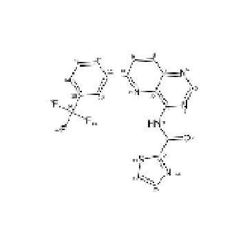 O=C(Nc1ncnc2ccc(-c3cccc(C(F)(F)F)c3)nc12)c1nccs1